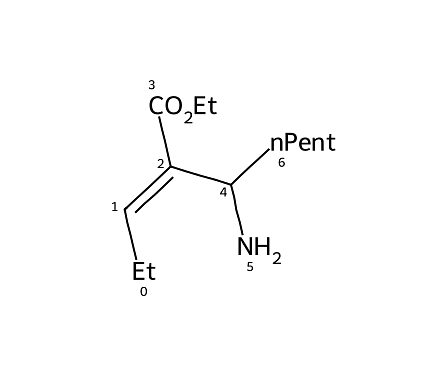 CCC=C(C(=O)OCC)C(N)CCCCC